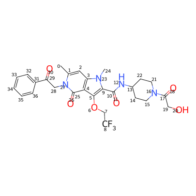 Cc1cc2c(c(OCC(F)(F)F)c(C(=O)NC3CCN(C(=O)CO)CC3)n2C)c(=O)n1CC(=O)c1ccccc1